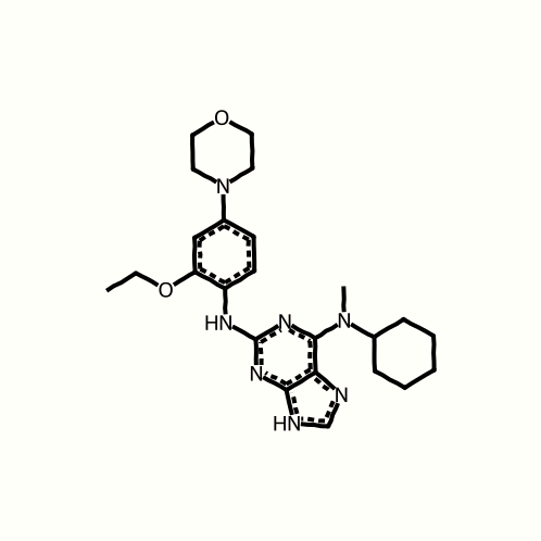 CCOc1cc(N2CCOCC2)ccc1Nc1nc(N(C)C2CCCCC2)c2nc[nH]c2n1